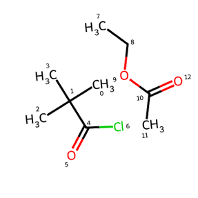 CC(C)(C)C(=O)Cl.CCOC(C)=O